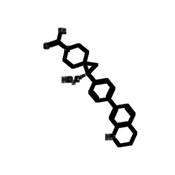 CCC(=O)N1CCC2(CC1)C[C@@]2(C(=O)O)c1ccc(-c2ccc3c(c2)NCCC3)cc1